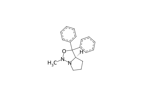 CN1OC(c2ccccc2)(c2ccccc2)[C@H]2CCCN21